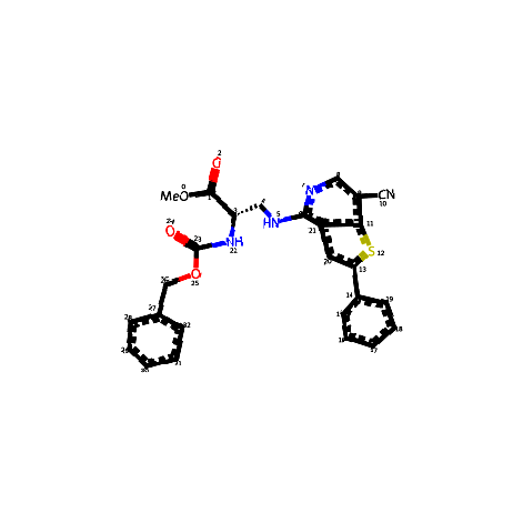 COC(=O)[C@H](CNc1ncc(C#N)c2sc(-c3ccccc3)cc12)NC(=O)OCc1ccccc1